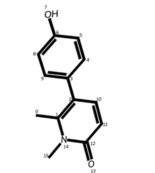 Cc1c(-c2ccc(O)cc2)ccc(=O)n1C